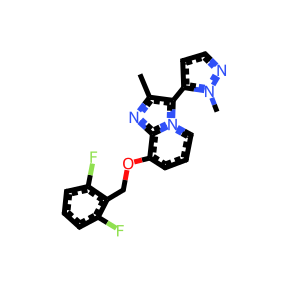 Cc1nc2c(OCc3c(F)cccc3F)cccn2c1-c1ccnn1C